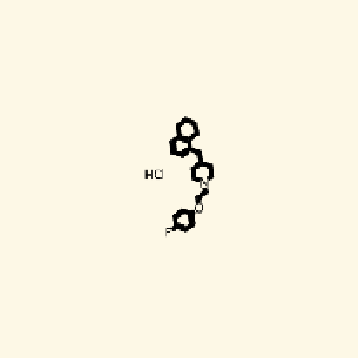 Cl.Fc1ccc(OCCN2CCC(Cc3cccc4c3CCCC4)CC2)cc1